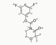 CC1(C)OCCN(C(=O)Oc2cc(F)cc(F)c2)C1=O